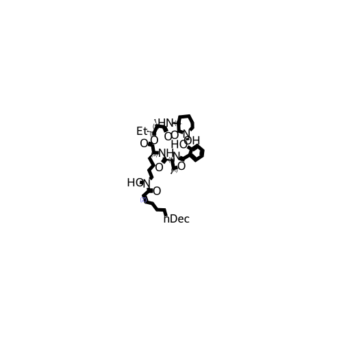 CCCCCCCCCCCCC/C=C\C(=O)N(O)CCCC[C@H](NC(=O)[C@H]1N=C(c2ccccc2O)O[C@@H]1C)C(=O)O[C@H](CC)[C@H](C)C(=O)N[C@H]1CCCCN(O)C1=O